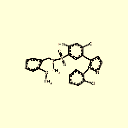 COc1ccccc1CN(C)S(=O)(=O)c1cc(-c2ccnn2-c2ccccc2Cl)c(O)cc1O